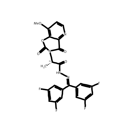 COc1ccnc2c(=O)n([C@@H](C)C(=O)NN=C(c3cc(F)cc(F)c3)c3cc(F)cc(F)c3)c(=O)oc12